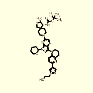 C[C@@H]1OCC2(CCN(c3cnc4c(N5CCCc6nc(-c7cnn(CCO)c7)ccc65)nn(C5CCCCO5)c4n3)CC2)[C@@H]1NC(=O)OC(C)(C)C